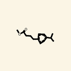 COC(=O)CCCc1ccc(C(C)C)cc1